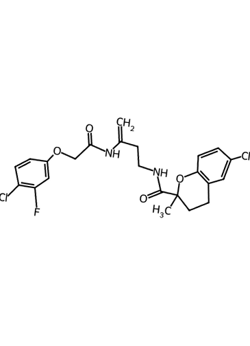 C=C(CCNC(=O)C1(C)CCc2cc(Cl)ccc2O1)NC(=O)COc1ccc(Cl)c(F)c1